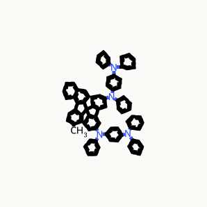 Cc1ccc2c(c1)C1(c3ccc(N(c4ccccc4)c4ccc(N(c5ccccc5)c5ccccc5)cc4)cc3-c3cc(N(c4ccccc4)c4ccc(N(c5ccccc5)c5ccccc5)cc4)ccc31)c1ccc3ccccc3c1-2